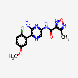 COc1ccc(Cl)c(-c2ncc(NC(=O)c3nonc3C)nc2N)c1